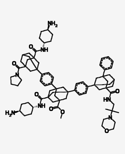 COC(=O)C12CC3(C(=O)N[C@H]4CC[C@H](N)CC4)CC(c4ccc(C56CC7CC(C(=O)N[C@H]8CC[C@H](N)CC8)(CC(C(=O)N8CCCC8)(C7)C5)C6)cc4)(C1)CC(c1ccc(C45CC6CC(C(=O)NCC(C)(C)N7CCOCC7)(CC(c7ccccc7)(C6)C4)C5)cc1)(C3)C2